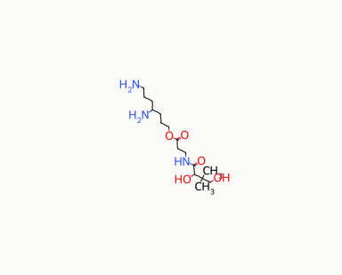 CC(C)(CO)[C@@H](O)C(=O)NCCC(=O)OCCCC(N)CCCN